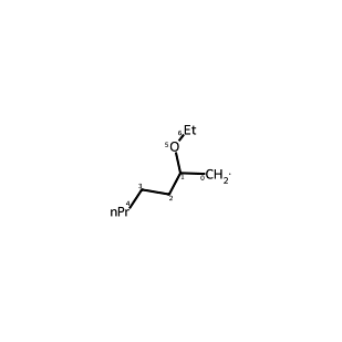 [CH2]C(CCCCC)OCC